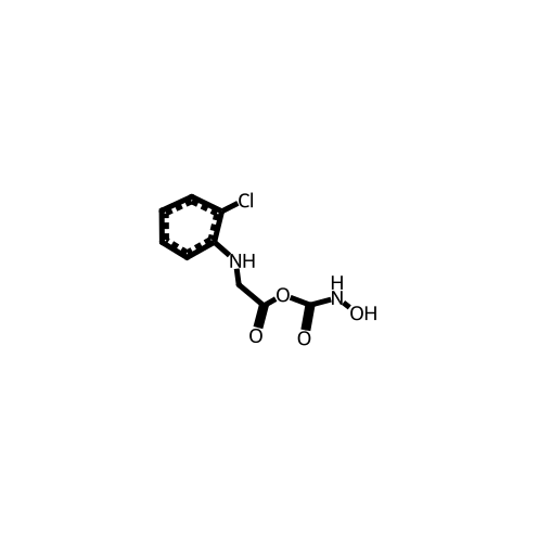 O=C(CNc1ccccc1Cl)OC(=O)NO